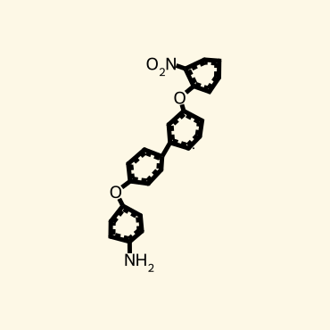 Nc1ccc(Oc2ccc(-c3[c]ccc(Oc4ccccc4[N+](=O)[O-])c3)cc2)cc1